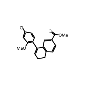 COC(=O)c1ccc2c(c1)C(c1ccc(Cl)cc1OC)=CCC2